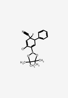 CC1(C)OB(C2=CC(c3ccccc3)C(F)(C#N)C=C2Cl)OC1(C)C